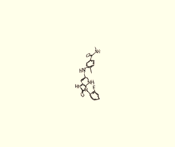 CNC(=O)c1ccc(C)c(NC2=Cc3[nH]c(=O)n(-c4ccccc4F)c3NC2)c1